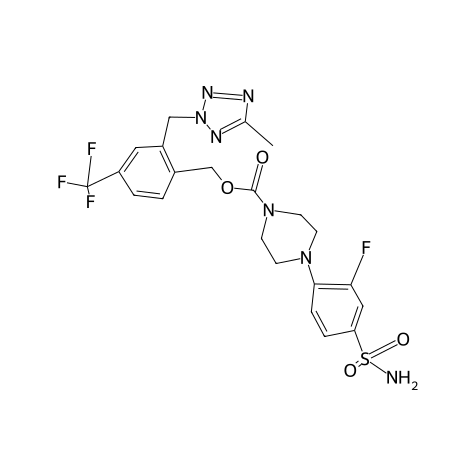 Cc1nnn(Cc2cc(C(F)(F)F)ccc2COC(=O)N2CCN(c3ccc(S(N)(=O)=O)cc3F)CC2)n1